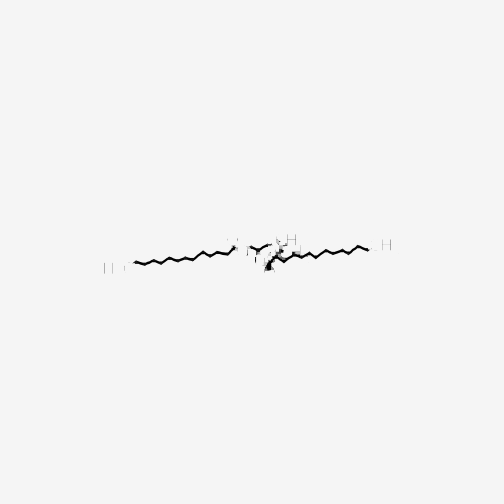 CCCCCCCCCCCCCC(=O)OCC(C[N+](C)(C)C)OC(=O)CCCCCCCCCCCCC